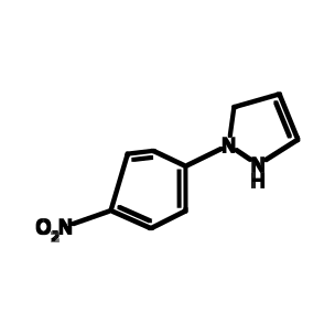 O=[N+]([O-])c1ccc(N2CC=CN2)cc1